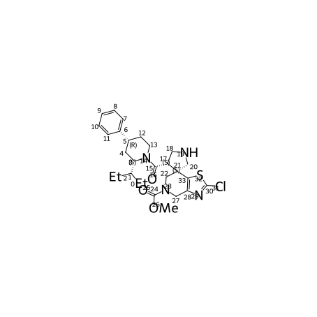 CCC(CC)[C@@H]1C[C@H](c2ccccc2)CCN1C(=O)[C@@H]1CNC[C@]12CN(C(=O)OC)Cc1nc(Cl)sc12